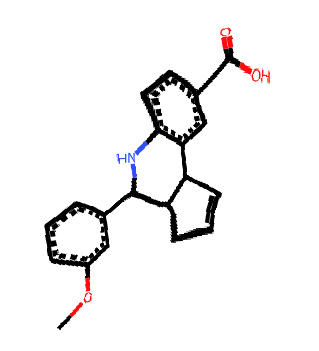 COc1cccc(C2Nc3ccc(C(=O)O)cc3C3C=CCC32)c1